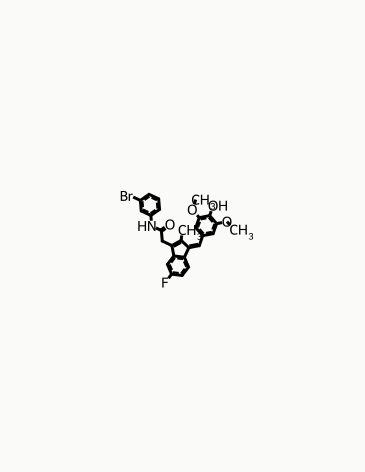 COc1cc(C=C2C(C)=C(CC(=O)Nc3cccc(Br)c3)c3cc(F)ccc32)cc(OC)c1O